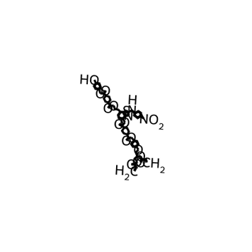 C=CC(=O)OCC(COc1ccc(OC(=O)C2CCC(C(=O)Oc3ccc(CCOC(=O)C4CCC(C(=O)Oc5ccc(O)cc5)CC4)c4sc(Nc5ccc([N+](=O)[O-])cc5)nc34)CC2)cc1)OC(=O)C=C